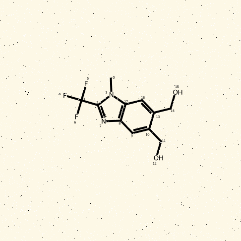 Cn1c(C(F)(F)F)nc2cc(CO)c(CO)cc21